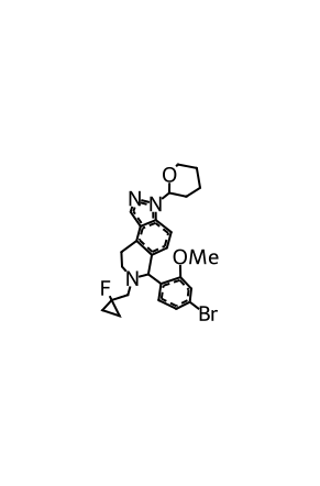 COc1cc(Br)ccc1C1c2ccc3c(cnn3C3CCCCO3)c2CCN1CC1(F)CC1